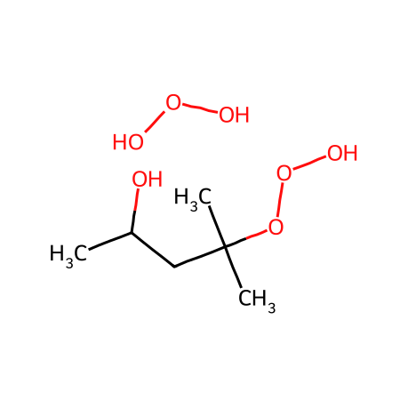 CC(O)CC(C)(C)OOO.OOO